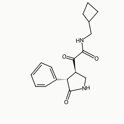 O=C(NCC1CCC1)C(=O)[C@H]1CNC(=O)[C@@H]1c1ccccc1